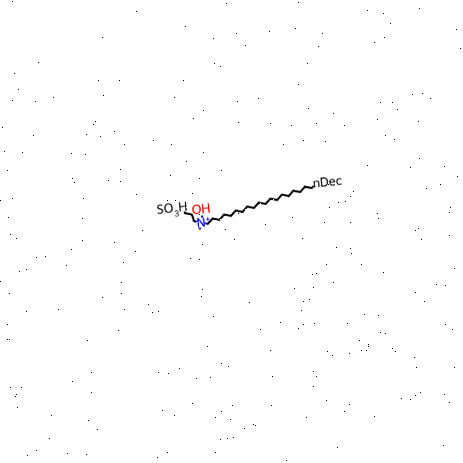 CCCCCCCCCCCCCCCCCCCCCCCCCCCCC[N+](C)(C)CC(O)CS(=O)(=O)O